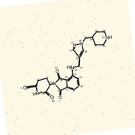 O=C1CCC(N2C(=O)c3cccc(NCc4cnn(CC5CCNCC5)c4)c3C2=O)C(=O)N1